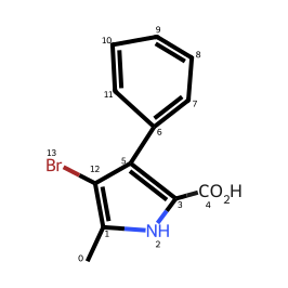 Cc1[nH]c(C(=O)O)c(-c2ccccc2)c1Br